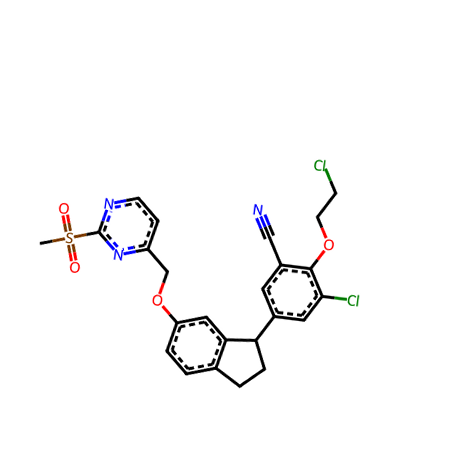 CS(=O)(=O)c1nccc(COc2ccc3c(c2)C(c2cc(Cl)c(OCCCl)c(C#N)c2)CC3)n1